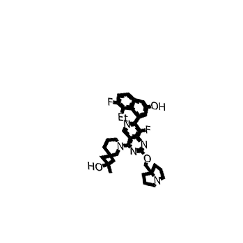 CCc1c(F)ccc2cc(O)cc(-c3ncc4c(N5CCCC6(C5)CC(C)(O)C6)nc(OCC56CCCN5CCC6)nc4c3F)c12